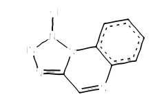 CN1NN=C2C=Nc3ccccc3N21